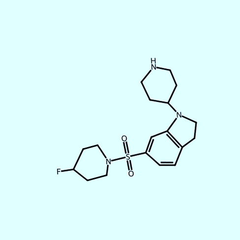 O=S(=O)(c1ccc2c(c1)N(C1CCNCC1)CC2)N1CCC(F)CC1